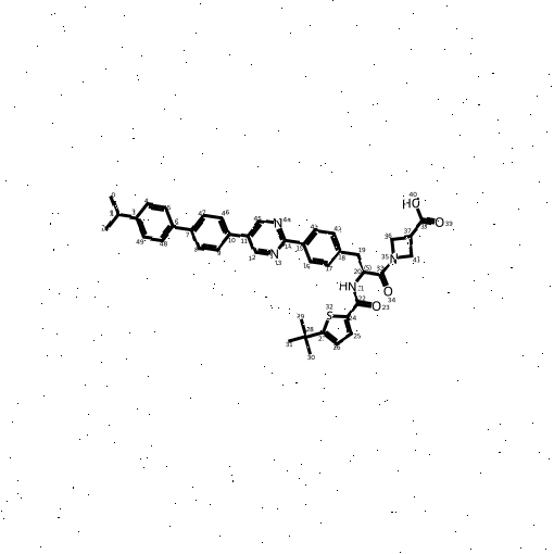 CC(C)c1ccc(-c2ccc(-c3cnc(-c4ccc(C[C@H](NC(=O)c5ccc(C(C)(C)C)s5)C(=O)N5CC(C(=O)O)C5)cc4)nc3)cc2)cc1